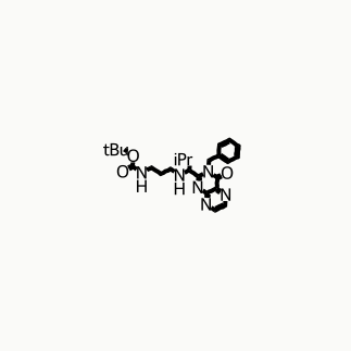 CC(C)C(NCCCNC(=O)OC(C)(C)C)c1nc2nccnc2c(=O)n1Cc1ccccc1